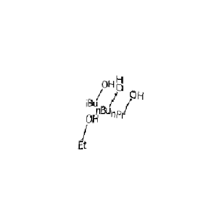 CCC(C)O.CCCCO.CCCO.CCO